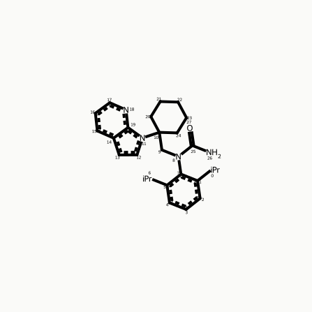 CC(C)c1cccc(C(C)C)c1N(CC1(n2ccc3cccnc32)CCCCC1)C(N)=O